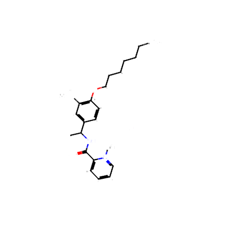 CCCCCCCCCCCCCCCCOc1ccc(C(C)NC(=O)c2cccc[n+]2CCC)cc1OC.[I-]